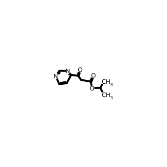 CC(C)OC(=O)CC(=O)c1ccncn1